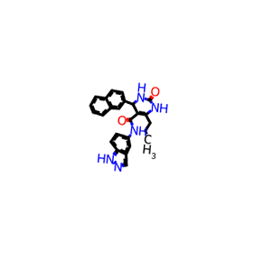 CCCC1=C(C(=O)Nc2ccc3[nH]ncc3c2)C(c2ccc3ccccc3c2)NC(=O)N1